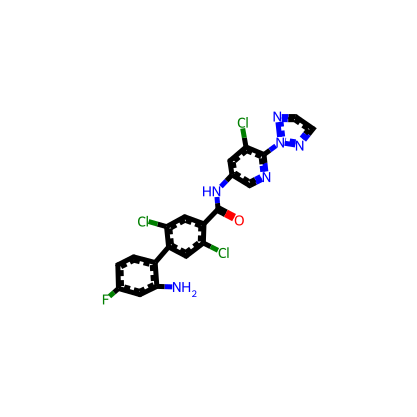 Nc1cc(F)ccc1-c1cc(Cl)c(C(=O)Nc2cnc(-n3nccn3)c(Cl)c2)cc1Cl